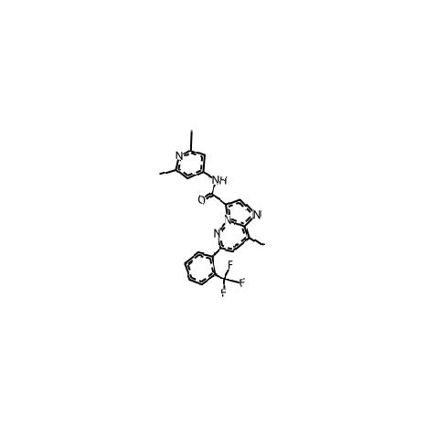 Cc1cc(NC(=O)c2cnc3c(C)cc(-c4ccccc4C(F)(F)F)nn23)cc(C)n1